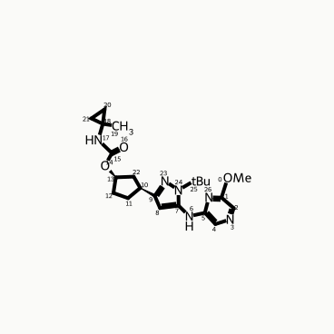 COc1cncc(Nc2cc([C@H]3CC[C@@H](OC(=O)NC4(C)CC4)C3)nn2C(C)(C)C)n1